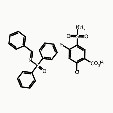 NS(=O)(=O)c1cc(C(=O)O)c(Cl)cc1F.O=P(N=Cc1ccccc1)(c1ccccc1)c1ccccc1